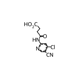 N#Cc1cnc(NC(=O)CCC(=O)O)cc1Cl